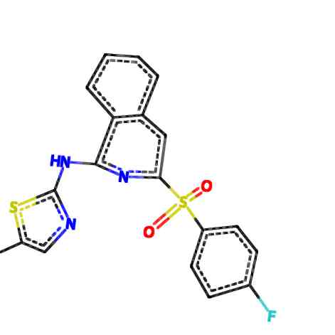 Cc1cnc(Nc2nc(S(=O)(=O)c3ccc(F)cc3)cc3ccccc23)s1